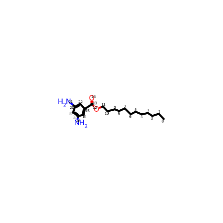 CCCCCCCCCCCCOC(=O)c1cc(N)cc(N)c1